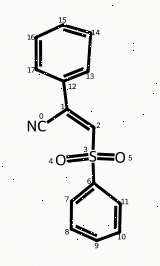 N#C/C(=C\S(=O)(=O)c1ccccc1)c1ccccc1